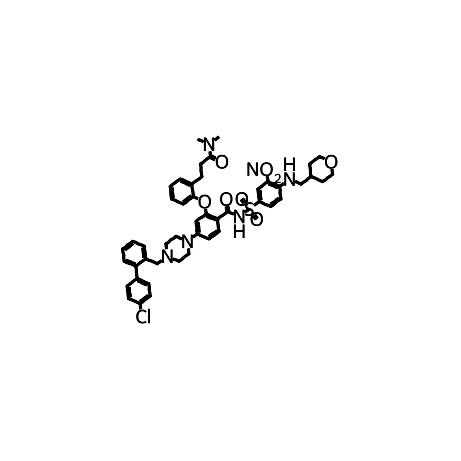 CN(C)C(=O)CCc1ccccc1Oc1cc(N2CCN(Cc3ccccc3-c3ccc(Cl)cc3)CC2)ccc1C(=O)NS(=O)(=O)c1ccc(NCC2CCOCC2)c([N+](=O)[O-])c1